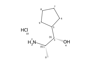 C[C@H](N)[C@@H](O)C1CCCC1.Cl